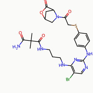 CC(C)(C(N)=O)C(=O)NCCCNc1nc(Nc2ccc(SCC(=O)N3CC4CC3C(=O)O4)cc2)ncc1Br